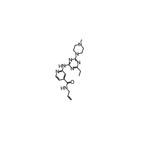 C=CCNC(=O)c1ccnc(Nc2nc(CC)nc(N3CCN(C)CC3)n2)c1